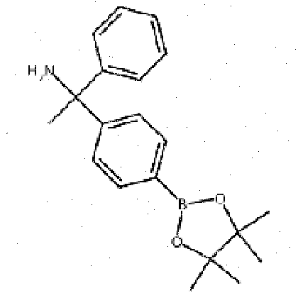 CC(N)(c1ccccc1)c1ccc(B2OC(C)(C)C(C)(C)O2)cc1